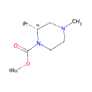 CC(C)[C@@H]1CN(C)CCN1C(=O)OC(C)(C)C